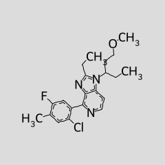 CCc1nc2c(-c3cc(F)c(C)cc3Cl)nccc2n1C(CC)CCOC